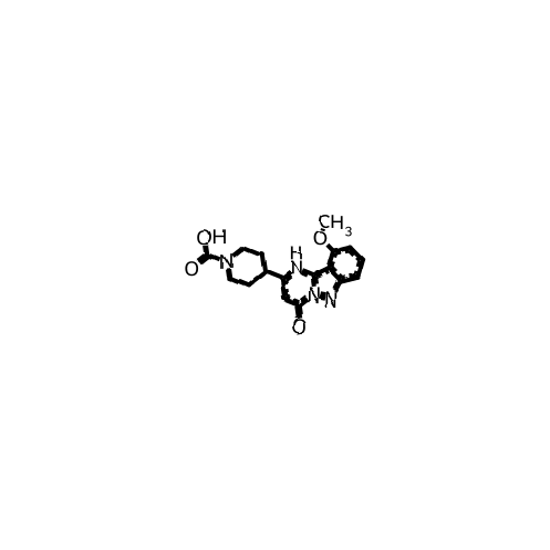 COc1cccc2nn3c(=O)cc(C4CCN(C(=O)O)CC4)[nH]c3c12